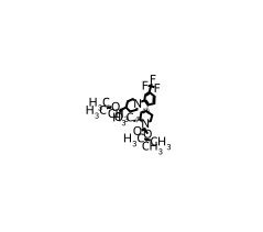 CC[C@@H]1C[C@H](c2ccc(C(F)(F)F)cc2N2CCC(C(=O)OC(C)(C)C)CC2)CCN1C(=O)OC(C)(C)C